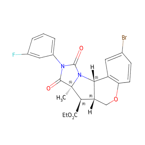 CCOC(=O)[C@@H]1[C@H]2COc3ccc(Br)cc3[C@H]2N2C(=O)N(c3cccc(F)c3)C(=O)[C@]12C